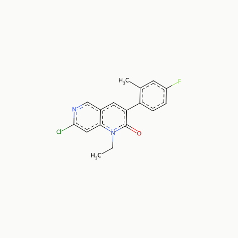 CCn1c(=O)c(-c2ccc(F)cc2C)cc2cnc(Cl)cc21